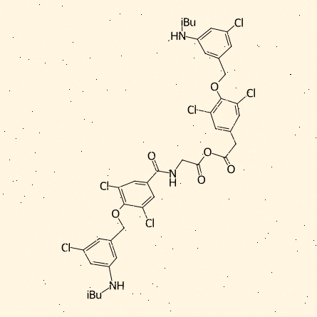 CCC(C)Nc1cc(Cl)cc(COc2c(Cl)cc(CC(=O)OC(=O)CNC(=O)c3cc(Cl)c(OCc4cc(Cl)cc(NC(C)CC)c4)c(Cl)c3)cc2Cl)c1